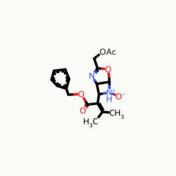 CC(=O)OCC1=NC2C(O1)[NH+]([O-])C2C(C(=O)OCc1ccccc1)=C(C)C